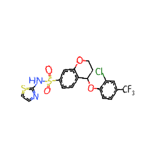 O=S(=O)(Nc1nccs1)c1ccc2c(c1)OCCC2Oc1ccc(C(F)(F)F)cc1Cl